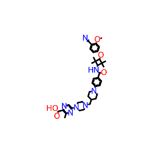 COc1cc(OC2C(C)(C)C(NC(=O)c3ccc(N4CCC(CN5CCN(c6cnc(C(=O)O)c(C)n6)CC5)CC4)cc3)C2(C)C)ccc1C#N